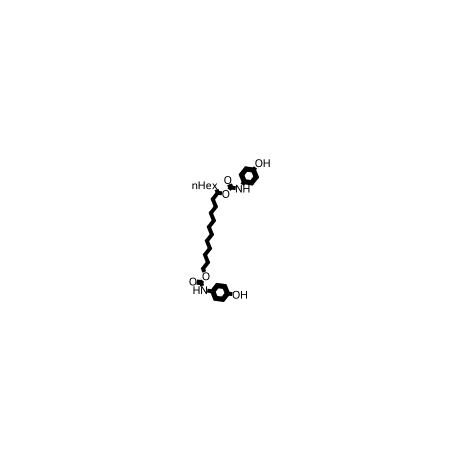 CCCCCCC(CCCCCCCCCCCOC(=O)Nc1ccc(O)cc1)OC(=O)Nc1ccc(O)cc1